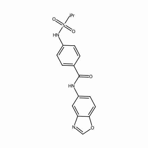 CC(C)S(=O)(=O)Nc1ccc(C(=O)Nc2ccc3ocnc3c2)cc1